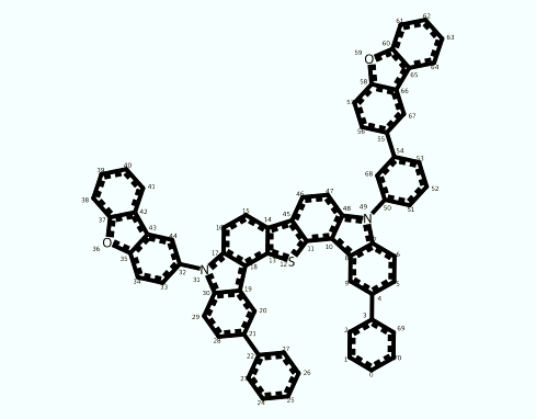 c1ccc(-c2ccc3c(c2)c2c4sc5c(ccc6c5c5cc(-c7ccccc7)ccc5n6-c5ccc6oc7ccccc7c6c5)c4ccc2n3-c2cccc(-c3ccc4oc5ccccc5c4c3)c2)cc1